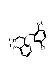 Cc1ccc(Cl)cc1C[C@@H](CN)c1ncccc1C